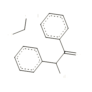 CC(C)COC(C(=O)c1ccccc1)c1ccccc1.O=C(O)CCl